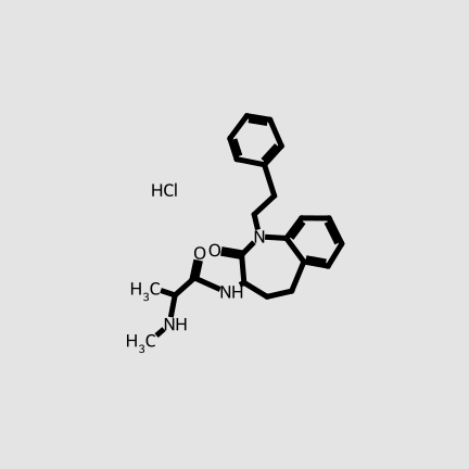 CNC(C)C(=O)NC1CCc2ccccc2N(CCc2ccccc2)C1=O.Cl